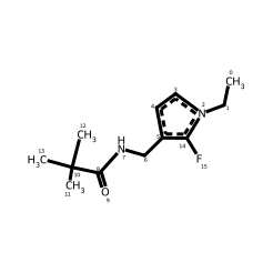 CCn1ccc(CNC(=O)C(C)(C)C)c1F